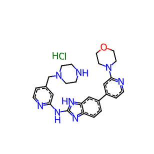 Cl.c1cc(CN2CCNCC2)cc(Nc2nc3ccc(-c4ccnc(N5CCOCC5)c4)cc3[nH]2)n1